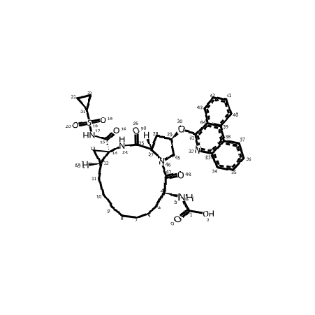 O=C(O)N[C@H]1CCCCCCC[C@@H]2C[C@@]2(C(=O)NS(=O)(=O)C2CC2)NC(=O)[C@@H]2C[C@@H](Oc3nc4ccccc4c4ccccc34)CN2C1=O